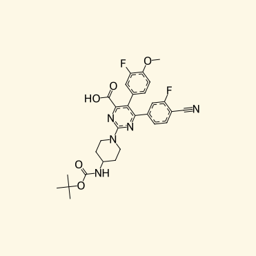 COc1ccc(-c2c(C(=O)O)nc(N3CCC(NC(=O)OC(C)(C)C)CC3)nc2-c2ccc(C#N)c(F)c2)cc1F